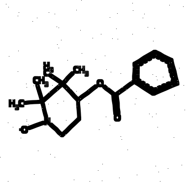 CC1(C)C(OC(=O)c2ccccc2)CCN([O])C1(C)C